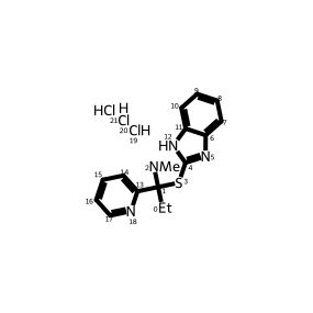 CCC(NC)(Sc1nc2ccccc2[nH]1)c1ccccn1.Cl.Cl.Cl